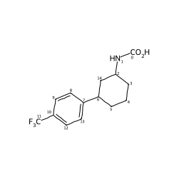 O=C(O)NC1CCCC(c2ccc(C(F)(F)F)cc2)C1